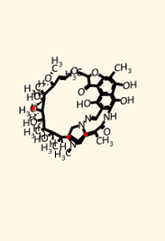 CO[C@H]1/C=C/O[C@@]2(C)Oc3c(C)c(O)c4c(O)c(c(/C=N/N5CCN(C)CC5)c(O)c4c3C2=O)NC(=O)/C(C)=C/C=C/[C@H](C)[C@H](O)[C@@H](C)[C@@H](O)[C@@H](C)[C@H](O)[C@H]1C